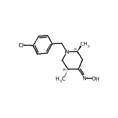 C[C@@H]1CN(Cc2ccc(Cl)cc2)[C@@H](C)CC1=NO